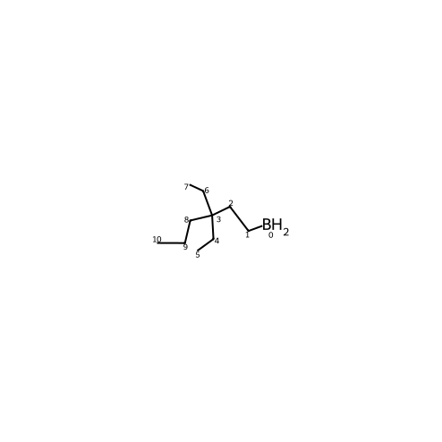 BCCC(CC)(CC)CCC